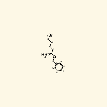 C=C(CCCCBr)OCc1ccccc1